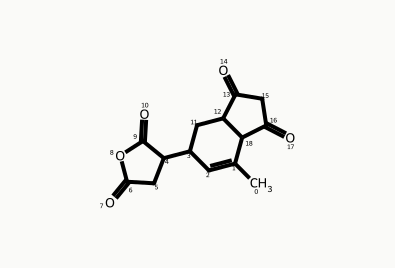 CC1=CC(C2CC(=O)OC2=O)CC2C(=O)CC(=O)C12